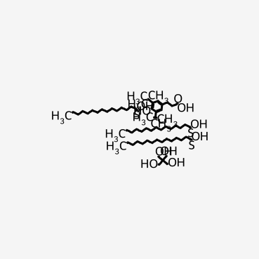 CC(C)(C)c1cc(CCC(=O)O)cc(C(C)(C)C)c1O.CCCCCCCCCCCCCCC(O)=S.CCCCCCCCCCCCCCC(O)=S.CCCCCCCCCCCCCCC(O)=S.OCC(CO)(CO)CO